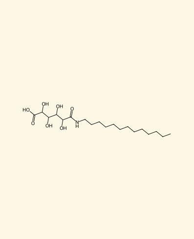 CCCCCCCCCCCCCNC(=O)C(O)C(O)C(O)C(O)C(=O)O